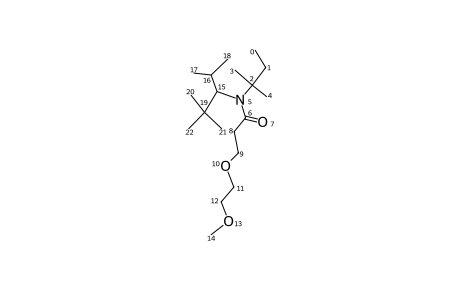 CCC(C)(C)N(C(=O)CCOCCOC)C(C(C)C)C(C)(C)C